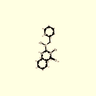 CCn1c([S+]([O-])Cc2ccccn2)nc2ccccc2c1=O